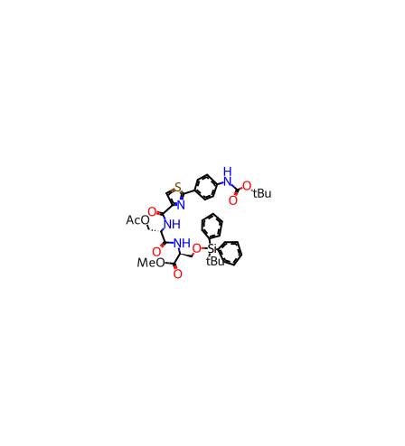 COC(=O)[C@H](CO[Si](c1ccccc1)(c1ccccc1)C(C)(C)C)NC(=O)[C@H](COC(C)=O)NC(=O)c1csc(-c2ccc(NC(=O)OC(C)(C)C)cc2)n1